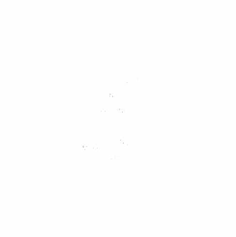 COc1cc(C(=O)NC(=N)C2CCOCC2)cnc1C(C)C